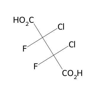 O=C(O)C(F)(Cl)C(F)(Cl)C(=O)O